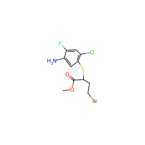 COC(=O)C(CCBr)Sc1cc(N)c(F)cc1Cl